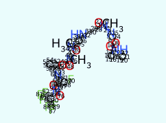 CN(CCN1CCC(OC(=O)Nc2ccccc2-c2ccccc2)CC1)C(=O)CCCCCNc1ccc(C(=O)N(C)CCCN(C)C(=O)COC2Cc3ccccc3C23CCN(CC[C@]2(c4ccc(F)cc4)CN(C(=O)c4cc(C(F)(F)F)cc(C(F)(F)F)c4)CO2)CC3)cc1